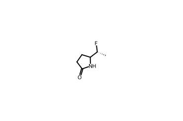 C[C@@H](F)C1CCC(=O)N1